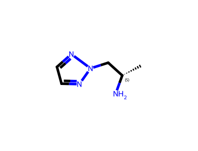 C[C@H](N)Cn1nccn1